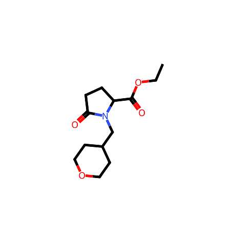 CCOC(=O)C1CCC(=O)N1CC1CCOCC1